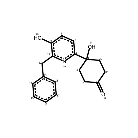 O=C1CCC(O)(c2ccc(O)c(Cc3ccccc3)n2)CC1